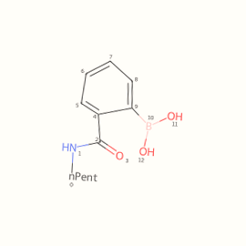 CCCCCNC(=O)c1ccccc1B(O)O